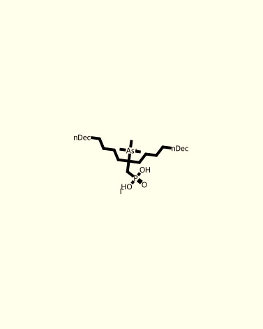 CCCCCCCCCCCCCCC(CCCCCCCCCCCCCC)(CP(=O)(O)O)[As+](C)(C)C.[I-]